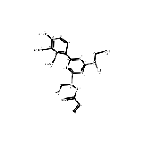 C=CC(=O)ON(CO)c1nc(-c2ccc(CCCCCCCC)c(CCCCCCCC)c2CCCCCCCC)nc(N(CC)CO)n1